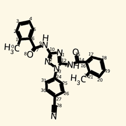 Cc1ccccc1C(=O)Nc1nc(NC(=O)c2ccccc2C)n(-c2ccc(C#N)cc2)n1